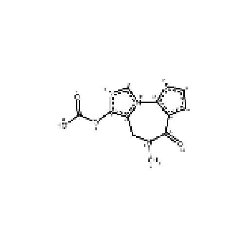 CN1Cc2c(OC(=O)O)ncn2-c2sccc2C1=O